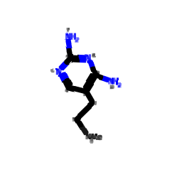 CNCCc1cnc(N)nc1N